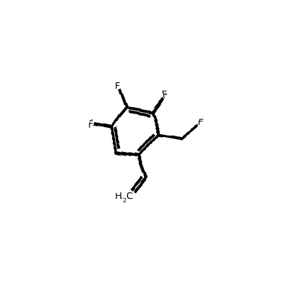 C=Cc1cc(F)c(F)c(F)c1CF